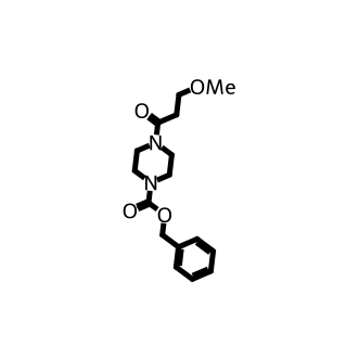 COCCC(=O)N1CCN(C(=O)OCc2ccccc2)CC1